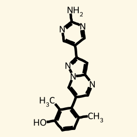 Cc1ccc(O)c(C)c1-c1cnc2cc(-c3cnc(N)nc3)nn2c1